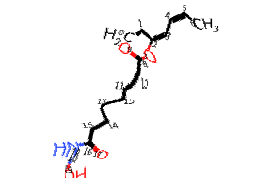 C=C/C(=C\C=C/C)OC(=O)CCCCCCC(=O)NO